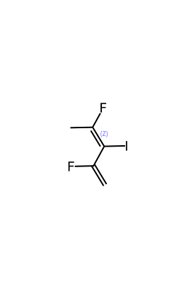 C=C(F)/C(I)=C(\C)F